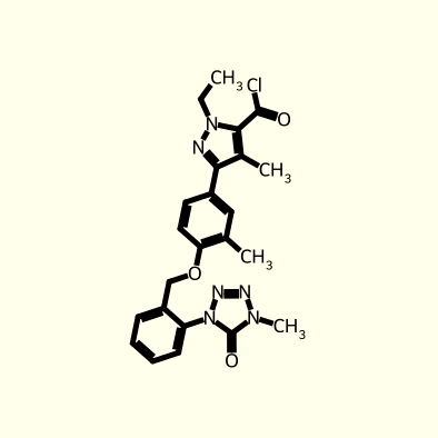 CCn1nc(-c2ccc(OCc3ccccc3-n3nnn(C)c3=O)c(C)c2)c(C)c1C(=O)Cl